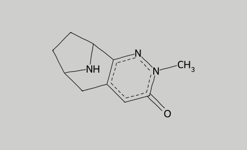 Cn1nc2c(cc1=O)CC1CCC2N1